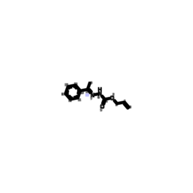 C=CCOC(=O)N/N=C(\C)c1ccccc1